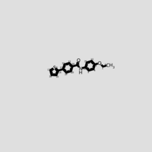 CCOc1ccc(NC(=O)c2ccc(-c3cccs3)cc2)cc1